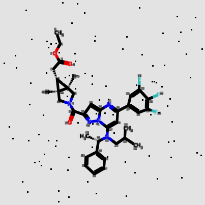 CCOC(=O)C[C@@H]1[C@H]2CN(C(=O)c3cc4nc(-c5cc(F)c(F)c(F)c5)cc(N(CC(C)C)[C@@H](C)c5ccccc5)n4n3)C[C@@H]12